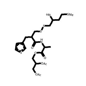 CSCCC([NH])CSSCC(Cc1ccsc1)C(=O)NC(C)C(=O)OCC(COC(C)=O)OC(C)=O